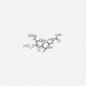 CCCC(=O)NCC(=O)N[C@@H](C)C(=O)N[C@H](C(=O)O)C(O)CSC